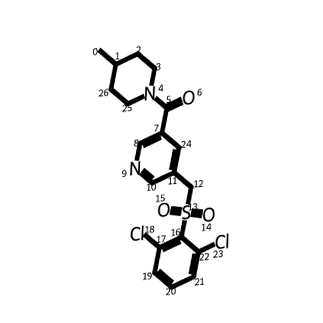 CC1CCN(C(=O)c2cncc(CS(=O)(=O)c3c(Cl)cccc3Cl)c2)CC1